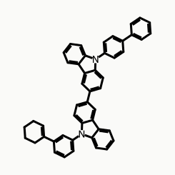 C1=C(c2cccc(-n3c4ccccc4c4cc(-c5ccc6c(c5)c5ccccc5n6-c5ccc(-c6ccccc6)cc5)ccc43)c2)CCCC1